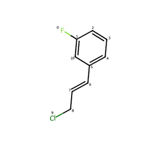 Fc1cccc(C=CCCl)c1